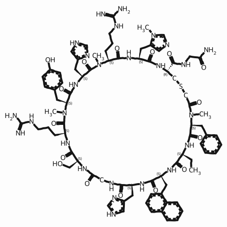 CC[C@@H]1NC(=O)[C@H](Cc2ccccc2)N(C)C(=O)CSC[C@@H](C(=O)NCC(N)=O)NC(=O)[C@H](Cc2cncn2C)NC(=O)[C@H](CCCNC(=N)N)N(C)C(=O)[C@H](Cc2c[nH]cn2)NC(=O)[C@H](Cc2ccc(O)cc2)N(C)C(=O)[C@H](CCCNC(=N)N)NC(=O)[C@H](CO)NC(=O)CNC(=O)[C@H](Cc2c[nH]cn2)NC(=O)[C@H](Cc2cccc3ccccc23)NC1=O